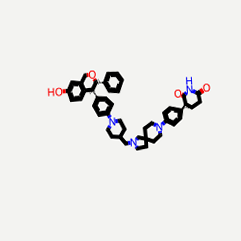 O=C1CC[C@@H](c2ccc(N3CCC4(CCN(CC5CCN(c6ccc([C@@H]7c8ccc(O)cc8CO[C@@H]7c7ccccc7)cc6)CC5)C4)CC3)cc2)C(=O)N1